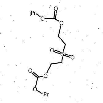 CC(C)OC(=O)OCCS(=O)(=O)CCOC(=O)OC(C)C